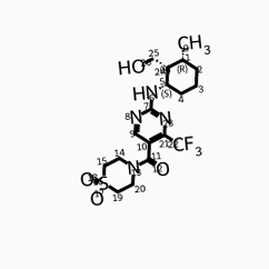 C[C@@H]1CCC[C@H](Nc2ncc(C(=O)N3CCS(=O)(=O)CC3)c(C(F)(F)F)n2)[C@@H]1CO